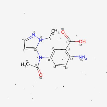 CCn1nccc1N(C(C)=O)c1ccc(N)c(C(=O)O)c1